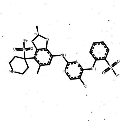 Cc1cc(Nc2ncc(Cl)c(Nc3ccccc3S(=O)(=O)C(C)C)n2)c2c(c1C1(S(=O)(=O)C(C)C)CCNCC1)C[C@@H](C)O2